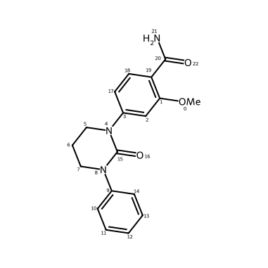 COc1cc(N2CCCN(c3ccccc3)C2=O)ccc1C(N)=O